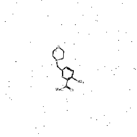 COC(=O)c1cc(CN2CCSCC2)ccc1[N+](=O)[O-]